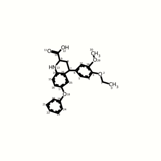 CCOc1ccc(C2CC(C(=O)O)Nc3ccc(Oc4ccccc4)cc32)cc1OC